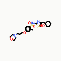 Cc1cc(OCCCN2CCOCC2)ccc1S(=O)(=O)Nc1nc(CC2(O)CCCCC2)cs1